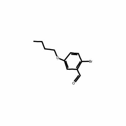 CCCCOc1ccc(Br)c(C=O)c1